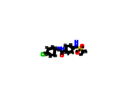 CC(C)S(=O)(=O)Nc1ccc(C(=O)Nc2ccc(Cl)cc2)cc1